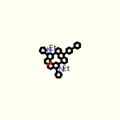 CCn1c2ccccc2c2c3ccccc3cc(-c3cccc4c(-c5ccc(-c6ccccc6)cc5)c5cccc(-c6cc7ccccc7c7c8ccccc8n(CC)c67)c5cc34)c21